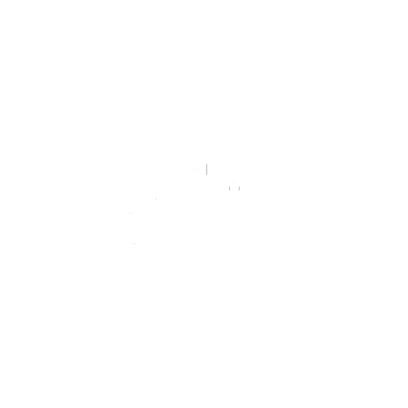 CCCCOCC(O)COC(=O)C(C)C